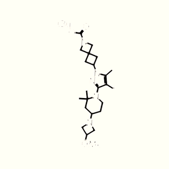 COC1CN(C2CCN(c3nn(C4CC5(C4)CN(C(=O)OC(C)(C)C)C5)c(C)c3I)C(C)(C)C2)C1